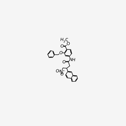 COC(=O)c1ccc(NC(=O)CC(C[N+](=O)[O-])c2ccc3ccccc3c2)cc1OCc1ccccc1